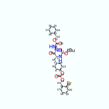 CC(C)(C)OC(=O)N[C@@H](Cc1ccc(OC(=O)OCc2ccccc2Br)cc1)C(=O)NNC(=O)OCc1ccccc1